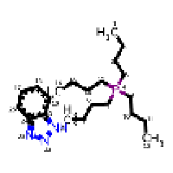 CCCC[P](CCCC)(CCCC)CCCC.c1ccc2[nH]nnc2c1